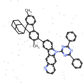 Cc1ccc2c(c1)C1(c3cc(C)c(-c4ccc5c(c4)c4cc6ncccc6cc4n5-c4nc(-c5ccccc5)nc(-c5ccccc5)n4)cc3-2)C2CC3CC(C2)CC1C3